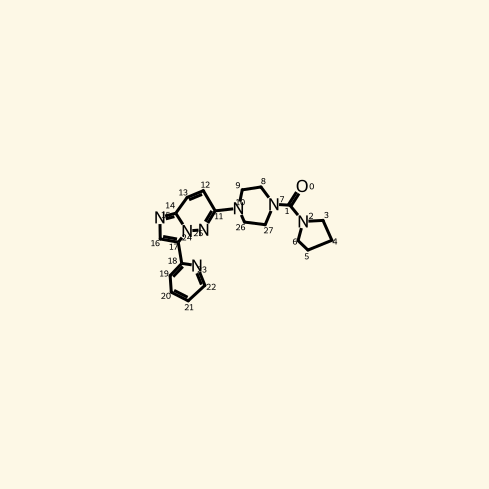 O=C(N1CCCC1)N1CCN(c2ccc3ncc(-c4ccccn4)n3n2)CC1